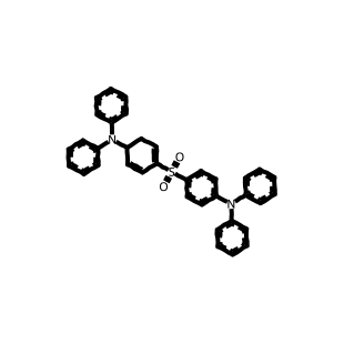 O=S(=O)(C1=CCC(N(c2ccccc2)c2ccccc2)C=C1)c1ccc(N(c2ccccc2)c2ccccc2)cc1